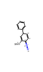 COC1=CC(c2ccccc2)C=CC1=[N+]=[N-]